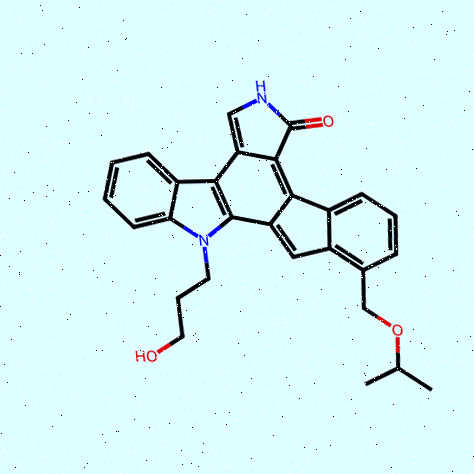 CC(C)OCc1cccc2c1C=c1c-2c2c(c3c4ccccc4n(CCCO)c13)=CNC2=O